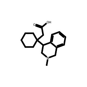 CN1Cc2ccccc2C(C2(CC(=O)O)CCCCC2)C1